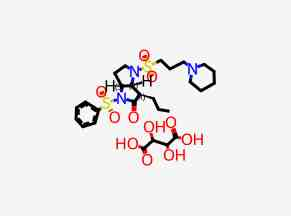 CCC[C@H]1C(=O)N(S(=O)(=O)c2ccccc2)[C@H]2CCN(S(=O)(=O)CCCN3CCCCC3)[C@H]12.O=C(O)C(O)C(O)C(=O)O